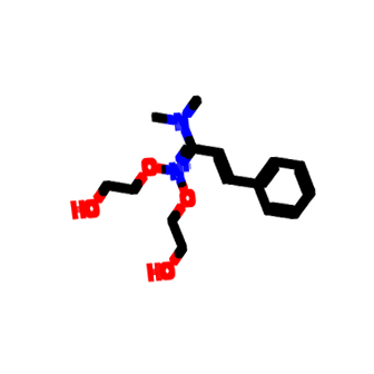 CN(C)C(C=Cc1ccccc1)=[N+](OCCO)OCCO